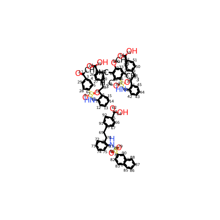 CC(=O)c1ccc(S(=O)(=O)Nc2ccccc2CCc2ccc(C(=O)O)cc2)cc1.COc1cc(C)c(S(=O)(=O)Nc2ccccc2CCc2ccc(C(=O)O)cc2)c(C)c1C.O=C(O)c1ccc(CCc2ccccc2NS(=O)(=O)c2ccc3ccccc3c2)cc1